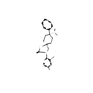 CN(C)[C@]1(c2ccccc2)CC[C@@]2(CC1)CN(c1ncc(C(F)(F)F)cc1F)C(=O)N2